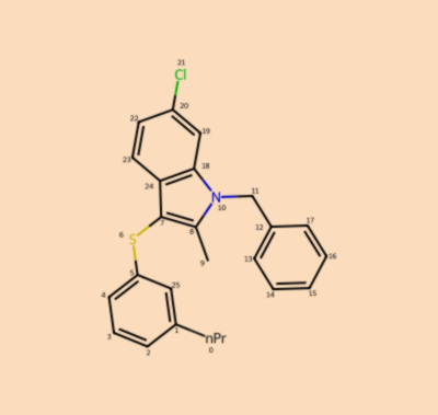 CCCc1cccc(Sc2c(C)n(Cc3ccccc3)c3cc(Cl)ccc23)c1